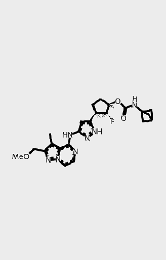 COCc1nn2ccnc(Nc3cc([C@H]4CC[C@@H](OC(=O)NC56CC(C5)C6)[C@@H]4F)[nH]n3)c2c1C